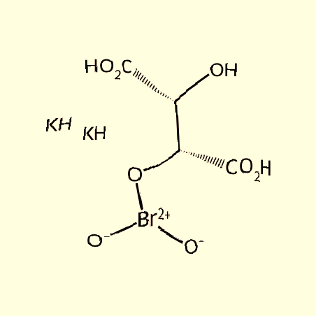 O=C(O)[C@H](O)[C@@H](O[Br+2]([O-])[O-])C(=O)O.[KH].[KH]